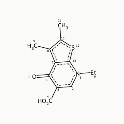 CCn1cc(C(=O)O)c(=O)c2c(C)c(C)sc21